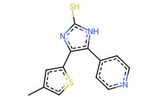 Cc1csc(-c2nc(S)[nH]c2-c2ccncc2)c1